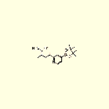 CC(CC(C)[S+](N)[O-])c1cc(B2OC(C)(C)C(C)(C)O2)ccn1